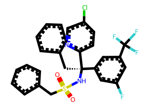 O=S(=O)(Cc1ccccc1)N[C@](Cc1ccccc1)(c1cc(F)cc(C(F)(F)F)c1)c1ccc(Cl)cn1